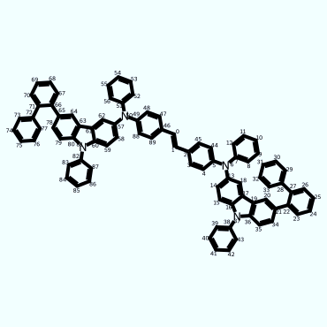 C(=C\c1ccc(N(c2ccccc2)c2ccc3c(c2)c2cc(-c4ccccc4-c4ccccc4)ccc2n3-c2ccccc2)cc1)/c1ccc(N(c2ccccc2)c2ccc3c(c2)c2cc(-c4ccccc4-c4ccccc4)ccc2n3-c2ccccc2)cc1